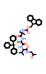 CC(=O)CNC(=O)[C@H](NC(=O)[C@@H](CSC(c1ccccc1)(c1ccccc1)c1ccccc1)NC(=O)C(C)(C)NC(=O)OCC1c2ccccc2-c2ccccc21)C(C)C